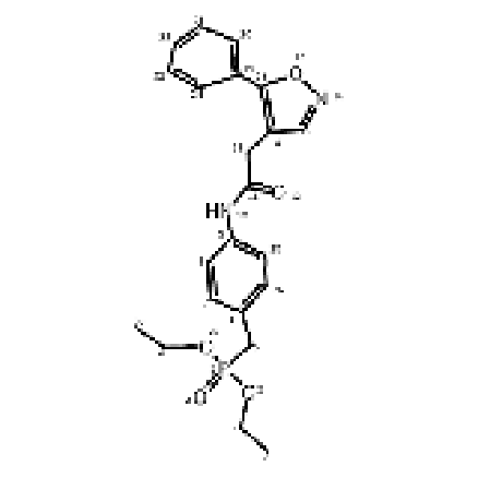 CCOP(=O)(Cc1ccc(NC(=O)Cc2cnoc2-c2ccccc2)cc1)OCC